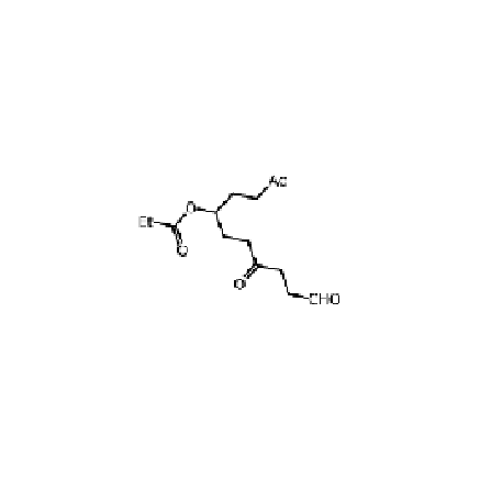 CCC(=O)OC(CCC(C)=O)CCC(=O)CCC=O